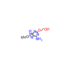 COc1nc2c(N)nc(OCCO)nc2[nH]1